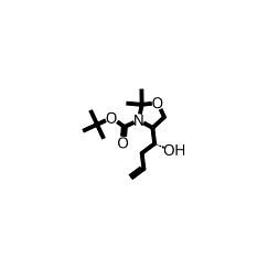 C=CC[C@@H](O)C1COC(C)(C)N1C(=O)OC(C)(C)C